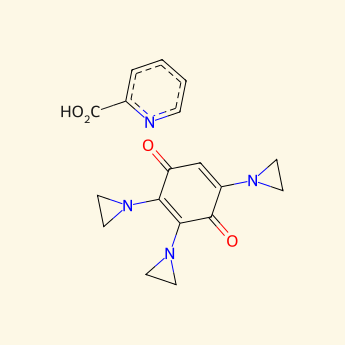 O=C(O)c1ccccn1.O=C1C=C(N2CC2)C(=O)C(N2CC2)=C1N1CC1